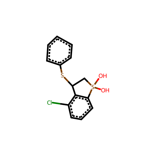 OS1(O)CC(Sc2ccccc2)c2c(Cl)cccc21